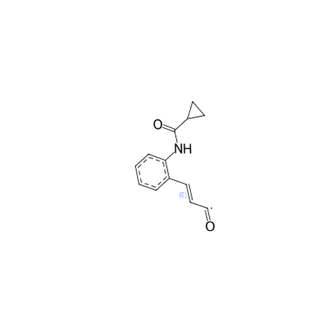 O=[C]/C=C/c1ccccc1NC(=O)C1CC1